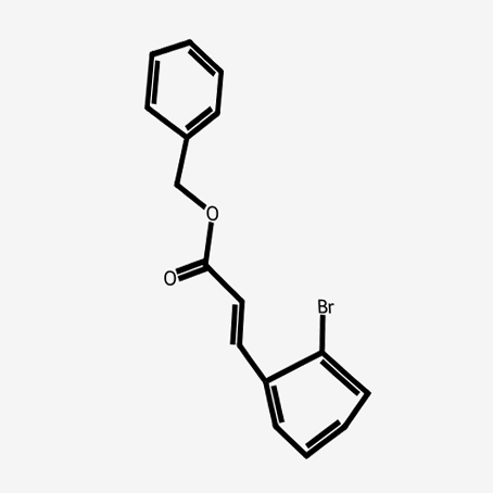 O=C(C=Cc1ccccc1Br)OCc1ccccc1